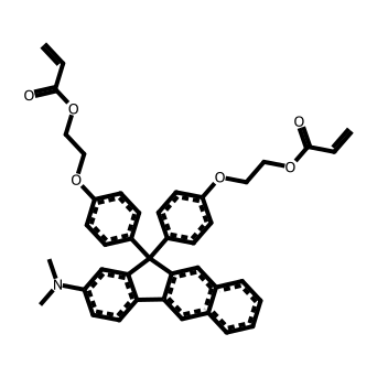 C=CC(=O)OCCOc1ccc(C2(c3ccc(OCCOC(=O)C=C)cc3)c3cc(N(C)C)ccc3-c3cc4ccccc4cc32)cc1